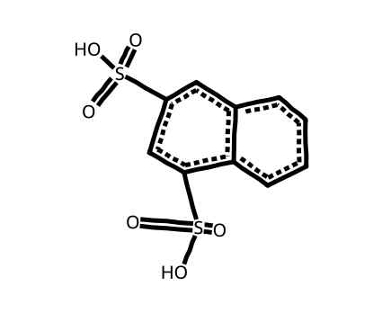 O=S(=O)(O)c1cc(S(=O)(=O)O)c2ccccc2c1